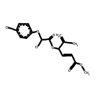 C=C(C)C(C=CC(=O)OC)OC(=O)C(Cl)Oc1ccc(Cl)cc1